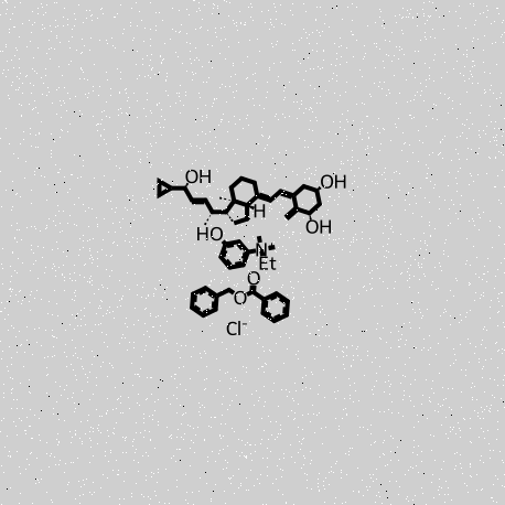 C=C1/C(=C\C=C2/CCC[C@]3(C)[C@@H]([C@H](C)/C=C/[C@@H](O)C4CC4)CC[C@@H]23)C[C@@H](O)C[C@@H]1O.CC[N+](C)(C)c1cccc(O)c1.O=C(OCc1ccccc1)c1ccccc1.[Cl-]